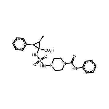 C[C@@H]1[C@H](c2ccccc2)[C@]1(NS(=O)(=O)NN1CCN(C(=O)Nc2ccccc2)CC1)C(=O)O